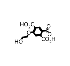 O=C(O)c1cc(I(=O)=O)c(C(=O)O)cc1OCCO